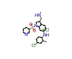 CNCc1cn(S(=O)(=O)c2cccnc2)c2cc(Nc3ccc(Cl)cc3C)ccc12.Cl